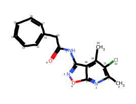 Cc1nc2onc(NC(=O)CC3=CC=C=CC=C3)c2c(C)c1Cl